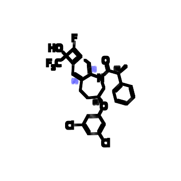 C/C=C1\C(=C/C2=C=C(F)C2(O)C(F)(F)F)CC[C@H](Oc2cc(Cl)cc(Cl)c2)CN1C(=O)[C@@H](C)c1ccccc1